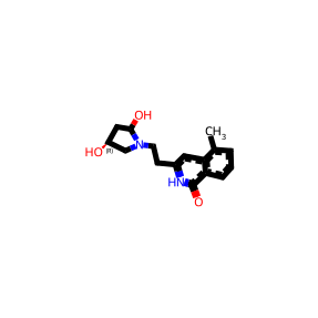 Cc1cccc2c(=O)[nH]c(CCN3C[C@H](O)CC3O)cc12